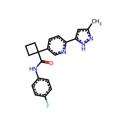 Cc1cc(-c2ccc(C3(C(=O)Nc4ccc(F)cc4)CCC3)cn2)[nH]n1